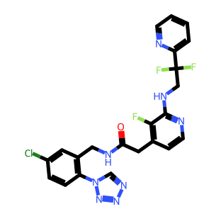 O=C(Cc1ccnc(NCC(F)(F)c2ccccn2)c1F)NCc1cc(Cl)ccc1-n1cnnn1